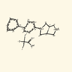 O=C(O)C(F)(F)F.c1ccc(-c2ccc(N3CC4CNCC4C3)nn2)cc1